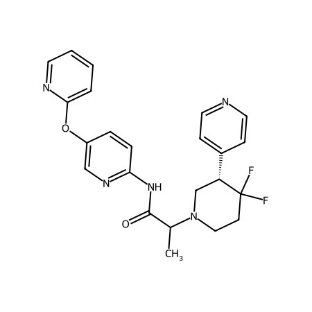 CC(C(=O)Nc1ccc(Oc2ccccn2)cn1)N1CCC(F)(F)[C@@H](c2ccncc2)C1